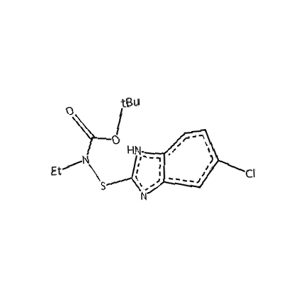 CCN(Sc1nc2cc(Cl)ccc2[nH]1)C(=O)OC(C)(C)C